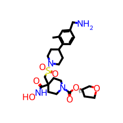 Cc1cc(CN)ccc1C1CCN(S(=O)(=O)CC2(C(=O)NO)CCN(C(=O)O[C@H]3CCOC3)CC2)CC1